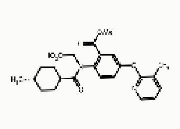 COC(=O)c1cc(Oc2ncccc2C(F)(F)F)ccc1N(CC(=O)O)C(=O)[C@H]1CC[C@H](C)CC1